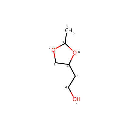 CC1OCC(CCO)O1